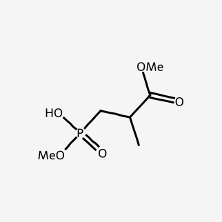 COC(=O)C(C)CP(=O)(O)OC